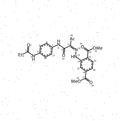 CCC(=O)Nc1ccc(NC(=O)/C(=N\Nc2cc(C(=O)OC)ccc2C(=O)OC)C(C)=O)cc1